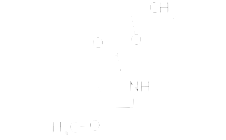 CCOC(=O)C1CC(OC)CN1